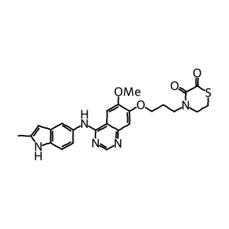 COc1cc2c(Nc3ccc4[nH]c(C)cc4c3)ncnc2cc1OCCCN1CCSC(=O)C1=O